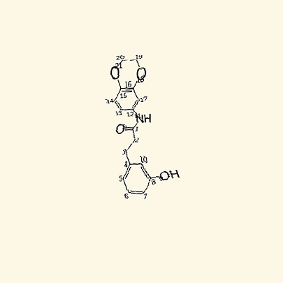 O=C(CCc1cccc(O)c1)Nc1ccc2c(c1)OCCO2